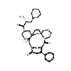 C[C@H](CC1CCCCC1)C(=O)N1CC[C@@]2(O)Cn3cc(c(-c4ccccc4)cc3=O)C(=O)N3CCOCC34CCC2(C1)C4